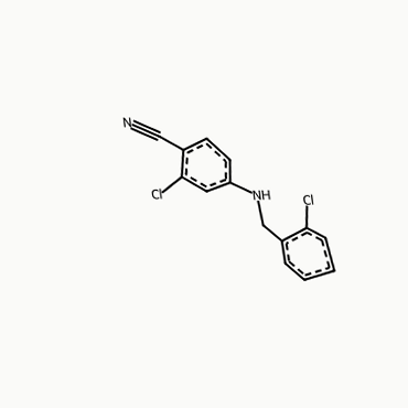 N#Cc1ccc(NCc2ccccc2Cl)cc1Cl